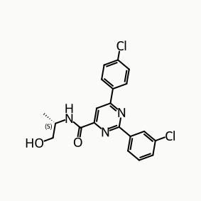 C[C@@H](CO)NC(=O)c1cc(-c2ccc(Cl)cc2)nc(-c2cccc(Cl)c2)n1